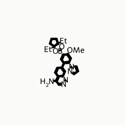 CC[C@@]12CCC[C@]1(CC)OB(c1cc(-c3ccc4c(N)cnnc4c3)c(-n3cccn3)cc1OC)O2